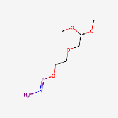 COC(COCCOP=NP)OC